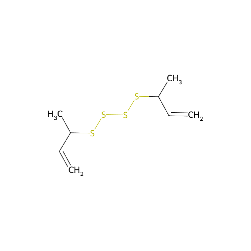 C=CC(C)SSSSC(C)C=C